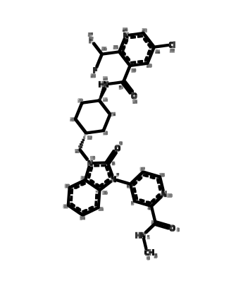 CNC(=O)c1cc(-n2c(=O)n(C[C@H]3CC[C@H](NC(=O)c4cc(Cl)cnc4C(F)F)CC3)c3ccccc32)ccn1